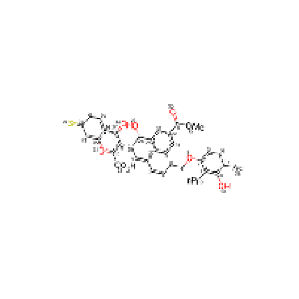 CCCc1c(OCC/C=C\C=C\[C@H](c2c(C(=O)O)oc3c(c2=O)=CCC(=S)C=3)[C@H](O)c2cccc(C(=O)OC)c2)ccc(C(C)=O)c1O